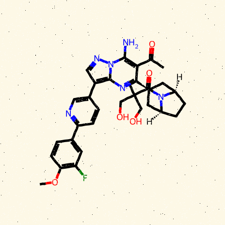 COc1ccc(-c2ccc(-c3cnn4c(N)c(C(C)=O)c([C@H]5C[C@H]6CC[C@@H](C5)N6C(=O)C(C)(CO)CO)nc34)cn2)cc1F